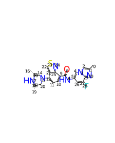 Cc1cn2cc(NC(=O)c3ccc(N4C[C@@H](C)N[C@@H](C)C4)c4csnc34)cc(F)c2n1